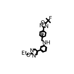 CCOc1ncc(-c2cccc(NCC34CCC(c5noc(C(C)(C)F)n5)(CC3)CC4)c2)cn1